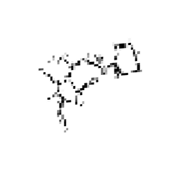 CC(=NNc1ccccc1)C1C(=O)NC(=O)NC1=O